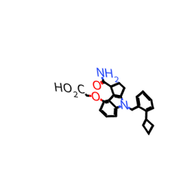 NC(=O)C1CCc2c1c1c(OCC(=O)O)cccc1n2Cc1ccccc1C1CCC1